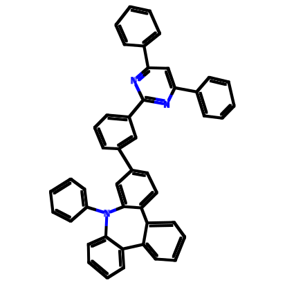 c1ccc(-c2cc(-c3ccccc3)nc(-c3cccc(-c4ccc5c(c4)N(c4ccccc4)c4ccccc4-c4ccccc4-5)c3)n2)cc1